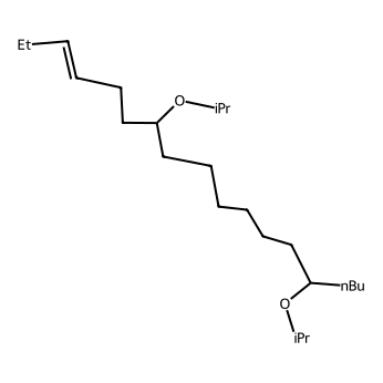 [CH2]CC=CCCC(CCCCCCC(CCCC)OC(C)C)OC(C)C